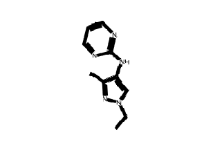 CCn1cc(Nc2ncccn2)c(C)n1